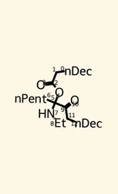 CCCCCCCCCCCC(=O)OC(CCCCC)(NCC)C(=O)CCCCCCCCCCC